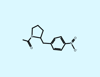 CC(=O)N1CCCC1Cc1ccc([N+](=O)[O-])cc1